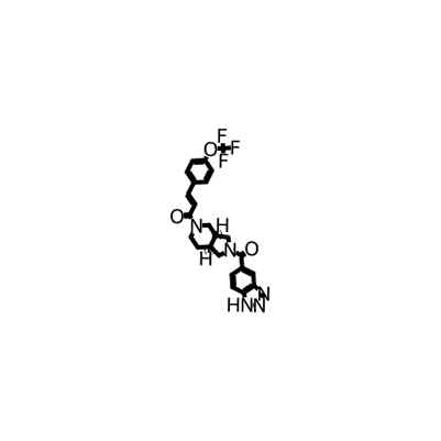 O=C(C=Cc1ccc(OC(F)(F)F)cc1)N1CC[C@@H]2CN(C(=O)c3ccc4[nH]nnc4c3)C[C@@H]2C1